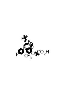 CC(F)(F)CC[C@H]1CN(c2ccc(F)cc2)c2cc(C(F)(F)F)c(OCC(C)(C)C(=O)O)cc2S(=O)(=O)[C@@H]1F